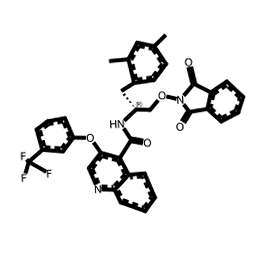 Cc1ccc(C[C@H](CON2C(=O)c3ccccc3C2=O)NC(=O)c2c(Oc3cccc(C(F)(F)F)c3)cnc3ccccc23)c(C)c1